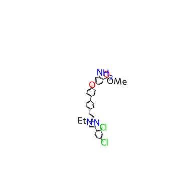 CCn1cc(-c2ccc(Cl)cc2Cl)nc1/C=C/c1ccc(-c2ccc(Oc3ccc(C(=O)OC)c(N)c3)cc2)cc1